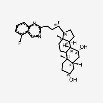 C[C@H](CCc1ncc2c(F)cccc2n1)[C@H]1CC[C@H]2[C@H]3C(CC[C@]12C)[C@@]1(C)CC[C@@H](O)C[C@H]1C[C@H]3O